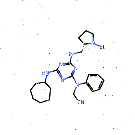 CCN1CCC[C@H]1CNc1nc(NC2CCCCCC2)nc(N(CC#N)c2ccccc2)n1